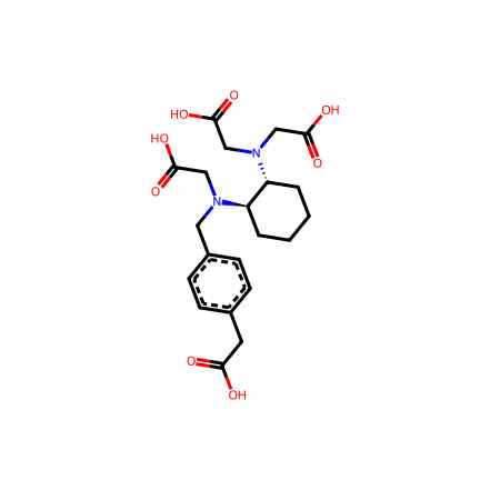 O=C(O)Cc1ccc(CN(CC(=O)O)[C@@H]2CCCC[C@H]2N(CC(=O)O)CC(=O)O)cc1